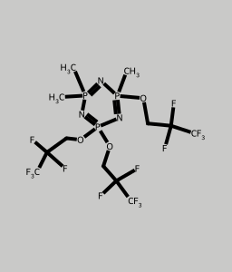 CP1(C)=NP(C)(OCC(F)(F)C(F)(F)F)=NP(OCC(F)(F)C(F)(F)F)(OCC(F)(F)C(F)(F)F)=N1